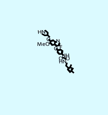 COc1cc2c(Oc3ccc(NC(=O)C(=O)NCCc4ccc(C)cc4C)cc3F)ccnc2cc1OCC1CCNCC1